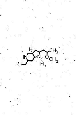 COC(C)CC1C[C@@H]2CNC(CCl)=CC2N1C